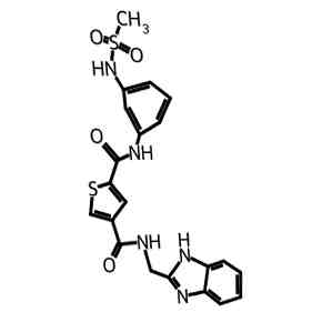 CS(=O)(=O)Nc1cccc(NC(=O)c2cc(C(=O)NCc3nc4ccccc4[nH]3)cs2)c1